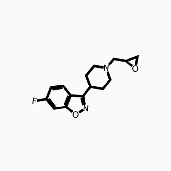 Fc1ccc2c(C3CCN(CC4CO4)CC3)noc2c1